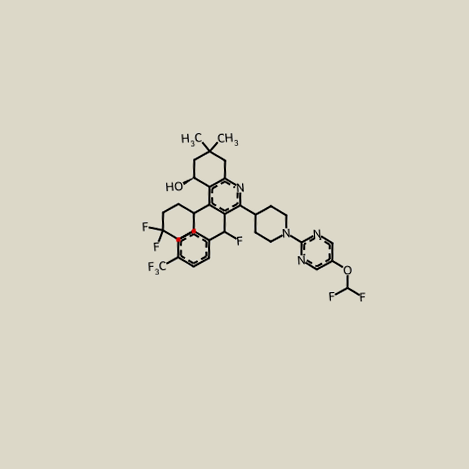 CC1(C)Cc2nc(C3CCN(c4ncc(OC(F)F)cn4)CC3)c(C(F)c3ccc(C(F)(F)F)cc3)c(C3CCC(F)(F)CC3)c2[C@@H](O)C1